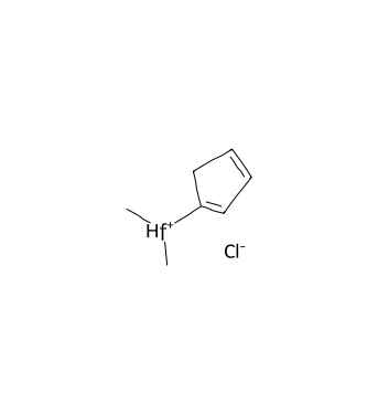 [CH3][Hf+]([CH3])[C]1=CC=CC1.[Cl-]